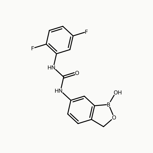 O=C(Nc1ccc2c(c1)B(O)OC2)Nc1cc(F)ccc1F